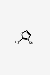 Sc1ncco1.[KH]